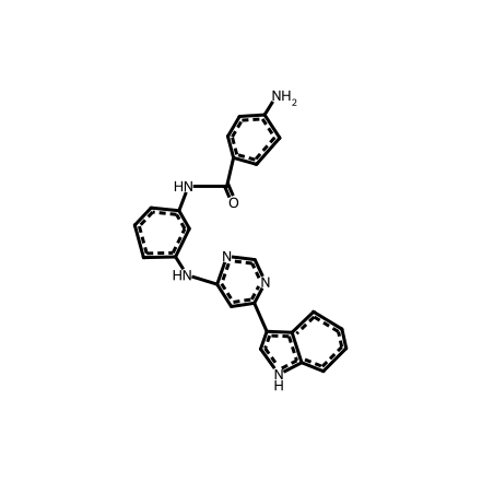 Nc1ccc(C(=O)Nc2cccc(Nc3cc(-c4c[nH]c5ccccc45)ncn3)c2)cc1